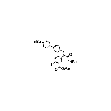 CCCCc1ccc(-c2ccc(CN(C(=O)CC(C)(C)C)c3ccc(F)c(C(=O)OC)c3)cc2)cc1